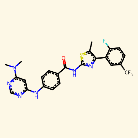 Cc1sc(NC(=O)c2ccc(Nc3cc(N(C)C)ncn3)cc2)nc1-c1cc(C(F)(F)F)ccc1F